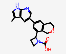 Cc1c[nH]c2ncc(-c3cc4c(c(C5CCN5C(=O)O)c3)COCC4)cc12